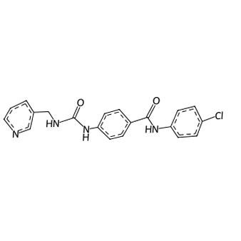 O=C(NCc1cccnc1)Nc1ccc(C(=O)Nc2ccc(Cl)cc2)cc1